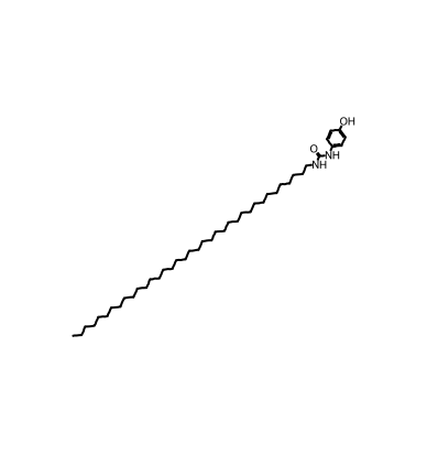 CCCCCCCCCCCCCCCCCCCCCCCCCCCCCCCCCCCCCNC(=O)Nc1ccc(O)cc1